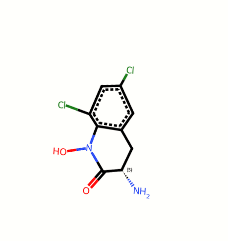 N[C@H]1Cc2cc(Cl)cc(Cl)c2N(O)C1=O